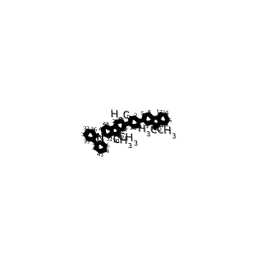 Cc1cc(-c2ccc3c(c2)C(C)(C)c2ccccc2-3)ccc1-c1ccc2c(c1)C(C)(C)c1cc(-n3c4ccccc4c4ccccc43)ccc1-2